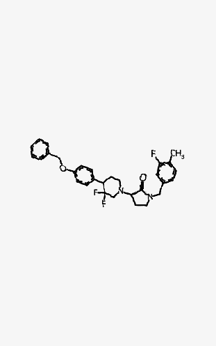 Cc1ccc(CN2CCC(N3CCC(c4ccc(OCc5ccccc5)cc4)C(F)(F)C3)C2=O)cc1F